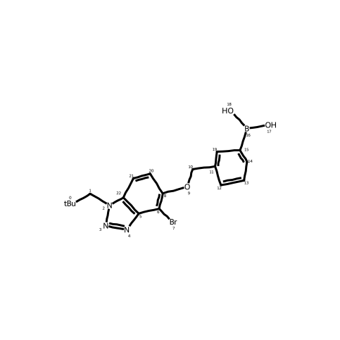 CC(C)(C)Cn1nnc2c(Br)c(OCc3cccc(B(O)O)c3)ccc21